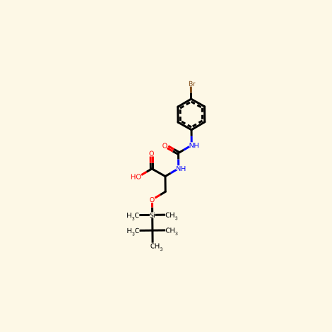 CC(C)(C)[Si](C)(C)OCC(NC(=O)Nc1ccc(Br)cc1)C(=O)O